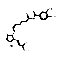 CCCCCC(O)/C=C/[C@@H]1[C@@H](C/C=C\CCCC(=O)NC(C)c2ccc(OC(C)=O)c(OC(C)=O)c2)[C@@H](O)C[C@H]1O